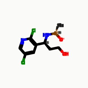 CC(C)(C)[S@+]([O-])N[C@@H](CCO)c1cc(Cl)cnc1Cl